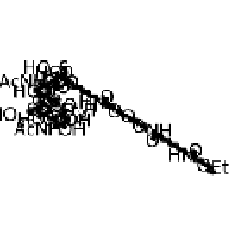 CCC1OC(OC2C(C(=O)O)OC(OC3C(COS(=O)(=O)O)OC(OC4C(C(=O)O)OC(OCCCCCCNC(=O)CCOCCOCCOCCNC(=O)CCCCCCCNC(=O)CCOCC(C)(C)CC)C(OS(=O)(=O)O)C4O)C(NC(C)=O)C3O)C(OS(=O)(=O)O)C2O)C(NC(C)=O)C(O)C1O